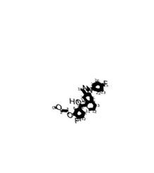 COCCOc1cc([C@H](O)[C@H]2CCCC3=Cc4c(cnn4-c4ccc(F)cc4)C[C@@]32C)ccc1F